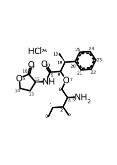 CCC(C)C(N)COC(C(=O)N[C@H]1CCOC1=O)[C@@H](C)c1ccccc1.Cl